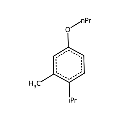 CCCOc1ccc(C(C)C)c(C)c1